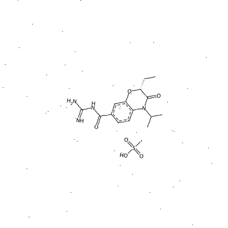 CC[C@H]1Oc2cc(C(=O)NC(=N)N)ccc2N(C(C)C)C1=O.CS(=O)(=O)O